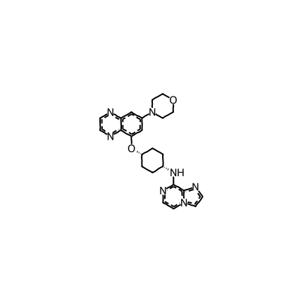 c1cn2ccnc2c(N[C@H]2CC[C@@H](Oc3cc(N4CCOCC4)cc4nccnc34)CC2)n1